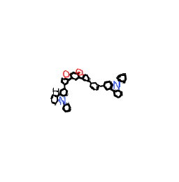 C1=CC(c2ccc3oc4cc5oc6ccc(-c7ccc8c(c7)[C@@H]7C=CC=CC7N8c7ccccc7)cc6c5cc4c3c2)CC(c2ccc3c(c2)c2ccccc2n3-c2ccccc2)=C1